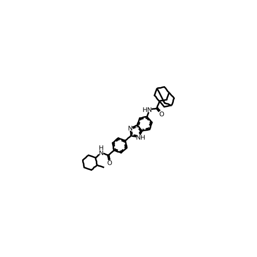 CC1CCCCC1NC(=O)c1ccc(-c2nc3cc(NC(=O)C45CC6CC(CC(C6)C4)C5)ccc3[nH]2)cc1